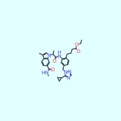 CCOC(=O)CCCc1ccc(Cn2ncnc2C2CC2)cc1NC(=O)C(C)n1cc(C)c2ccc(C(=O)NC)cc21